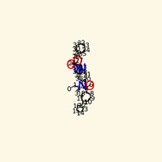 CCC(C)N(C(=O)C1=CC=CC(C2CCCC2)C=C1)C1CCc2nn(C(=O)OCC3=CCC=CC=C3)cc2C1